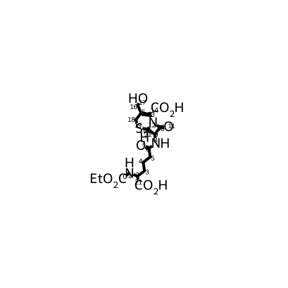 CCOC(=O)NC(CCCC(=O)NC1C(=O)N2C(C(=O)O)=C(CO)CS[C@@H]12)C(=O)O